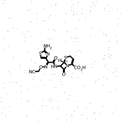 N#CCON=C(C(=O)NC1C(=O)N2C(C(=O)O)=CCS[C@@H]12)c1csc(N)n1